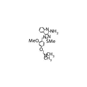 COc1cc(OCCN(C)C)ccc1Cn1c(SC)nc2c(N)nc3ccccc3c21